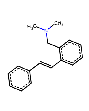 CN(C)Cc1ccccc1/C=C/c1ccccc1